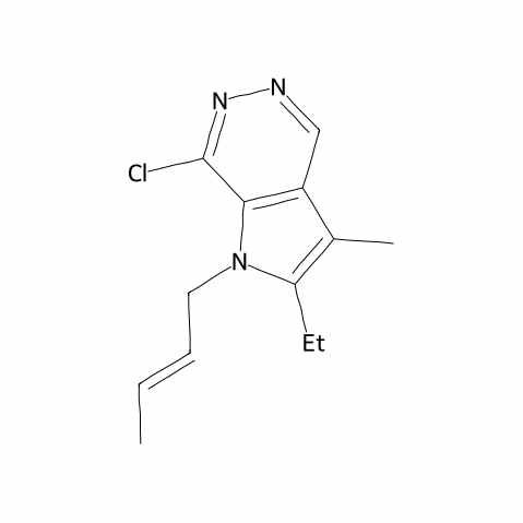 C/C=C/Cn1c(CC)c(C)c2cnnc(Cl)c21